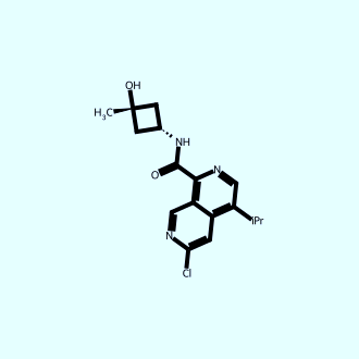 CC(C)c1cnc(C(=O)N[C@H]2C[C@@](C)(O)C2)c2cnc(Cl)cc12